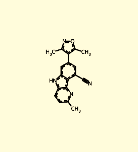 Cc1ccc2[nH]c3cc(-c4c(C)noc4C)cc(C#N)c3c2n1